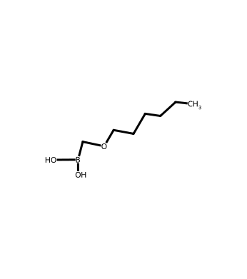 CCCCCCOCB(O)O